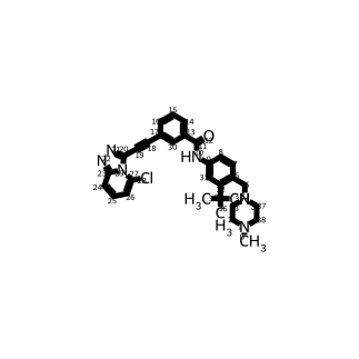 CN1CCN(Cc2ccc(NC(=O)c3cccc(C#Cc4nnc5cccc(Cl)n45)c3)cc2C(C)(C)C)CC1